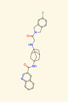 O=C(NC12CC3CC(C1)C(NCC(=O)N1Cc4ccc(F)cc4C1)(C3)C2)c1cnc2ccccc2c1